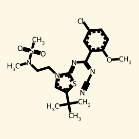 COc1ccc(Cl)cc1C(=NC#N)N=c1sc(C(C)(C)C)cn1CCN(C)S(C)(=O)=O